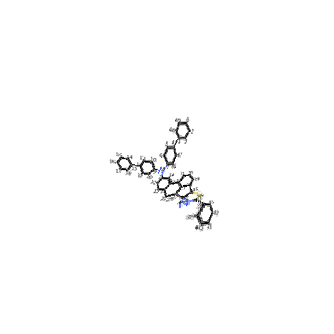 c1ccc(-c2ccc(N(c3ccc(-c4ccccc4)cc3)c3ccc4cc5c6c(cccc6c4c3)-c3sc(-c4ccccc4)nc3-5)cc2)cc1